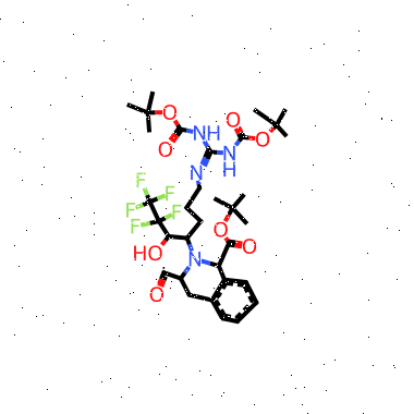 CC(C)(C)OC(=O)NC(=NCCCC(C(O)C(F)(F)C(F)(F)F)N1C([C]=O)Cc2ccccc2C1C(=O)OC(C)(C)C)NC(=O)OC(C)(C)C